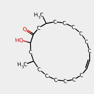 CC1CCCCCC/C=C\CCCCCCC(C)CC(O)C(=O)C1